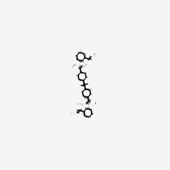 CC(C)(C1CCC(C(=O)OC2CCCCC2C(=O)O)CC1)C1CCC(C(=O)OC2CCCCC2C(=O)O)CC1